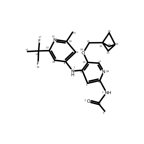 CC(=O)Nc1cc(Nc2cc(C)nc(C(C)(F)F)c2)c(OCC23CC(C2)C3)cn1